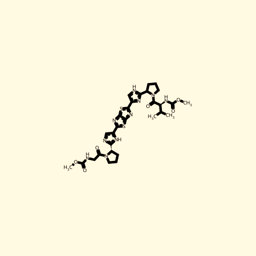 COC(=O)NCC(=O)N1CCC[C@H]1c1ncc(-c2nc3sc(-c4c[nH]c(C5CCCN5C(=O)[C@@H](NC(=O)OC)C(C)C)n4)nc3s2)[nH]1